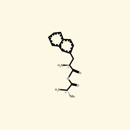 CCCC[C@H](N)C(=O)OC(=O)[C@@H](N)Cc1ccc2ccccc2c1